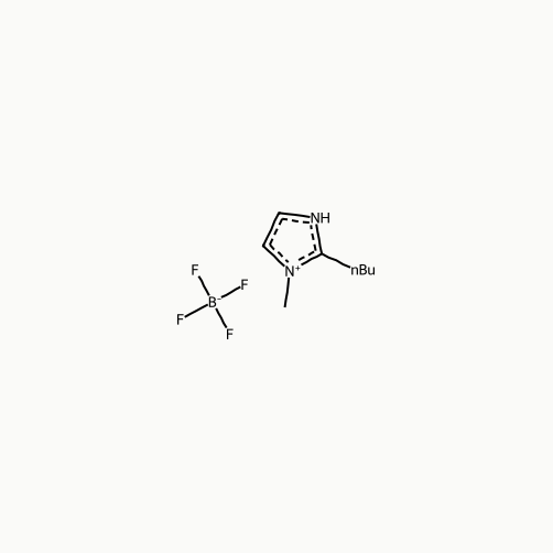 CCCCc1[nH]cc[n+]1C.F[B-](F)(F)F